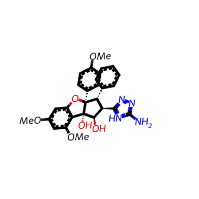 COc1ccc([C@@]23Oc4cc(OC)cc(OC)c4[C@]2(O)[C@H](O)[C@H](c2nnc(N)[nH]2)[C@H]3c2ccccc2)cc1